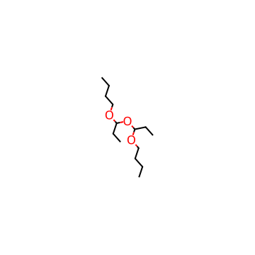 CCCCOC(CC)OC(CC)OCCCC